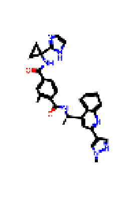 Cc1cc(C(=O)NC2(c3ncc[nH]3)CC2)ccc1C(=O)N[C@H](C)c1cc(-c2cnn(C)c2)nc2ccccc12